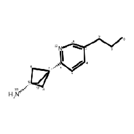 CCCc1ccc([C@]23C[C@](N)(C2)C3)nc1